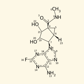 CNC(=O)[C@@]12C[C@@H]1[C@@H](n1cnc3c(N)nc(F)nc31)C(O)C2O